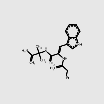 C=C(CC(C)C)N/C(=C\c1c[nH]c2ccccc12)C(=C)NC(C)(C)C(=C)N